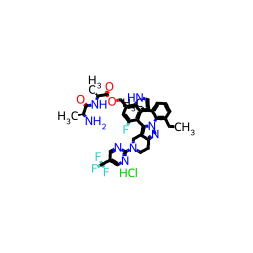 CCc1cccc(CC)c1-n1nc2c(c1-c1c(F)cc(COC(=O)[C@H](C)NC(=O)[C@H](C)N)c3[nH]ccc13)CN(c1ncc(C(F)(F)F)cn1)CC2.Cl